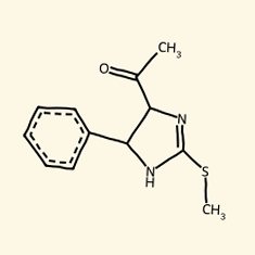 CSC1=NC(C(C)=O)C(c2ccccc2)N1